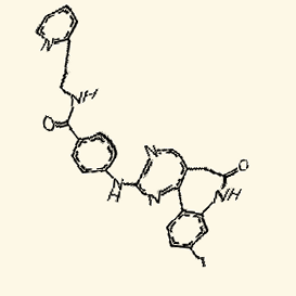 O=C1Cc2cnc(Nc3ccc(C(=O)NCCc4ccccn4)cc3)nc2-c2ccc(I)cc2N1